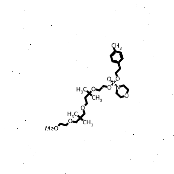 COCCOCC(C)(C)COCCC(C)(C)OCCOP(=O)(OCCc1ccc(C)cc1)N1CCOCC1